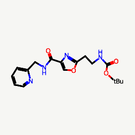 CC(C)(C)OC(=O)NCCc1nc(C(=O)NCc2ccccn2)co1